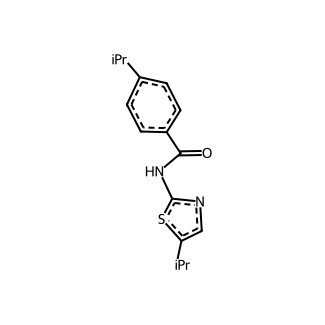 CC(C)c1ccc(C(=O)Nc2ncc(C(C)C)s2)cc1